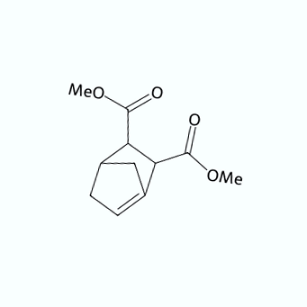 COC(=O)C1C2=CCC(C2)C1C(=O)OC